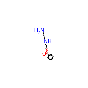 NCCCCNCCCOC(=O)c1ccccc1